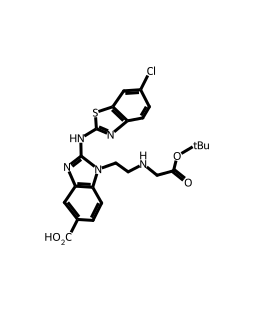 CC(C)(C)OC(=O)CNCCn1c(Nc2nc3ccc(Cl)cc3s2)nc2cc(C(=O)O)ccc21